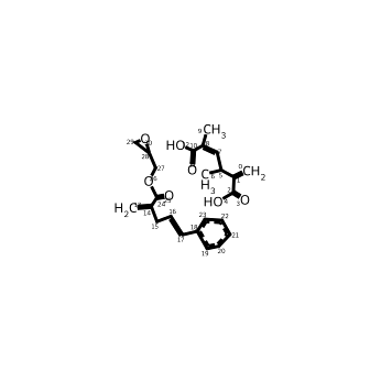 C=C(C(=O)O)C(C)C=C(C)C(=O)O.C=C(CC=Cc1ccccc1)C(=O)OCC1CO1